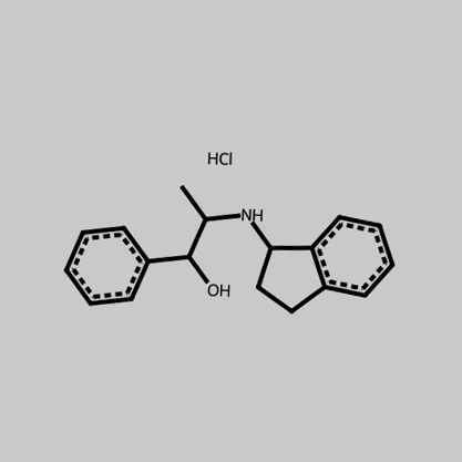 CC(NC1CCc2ccccc21)C(O)c1ccccc1.Cl